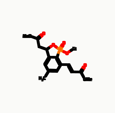 CCOP1(=O)OC(CC(=O)OC)c2cc(C)cc(C=CC(=O)OC)c21